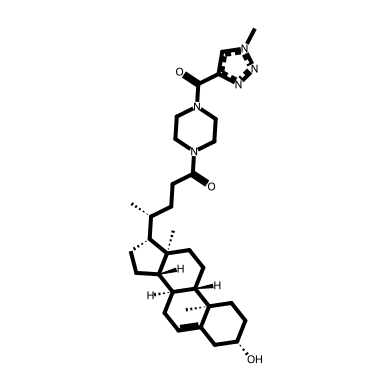 C[C@H](CCC(=O)N1CCN(C(=O)c2cn(C)nn2)CC1)[C@H]1CC[C@H]2[C@@H]3CC=C4C[C@@H](O)CC[C@]4(C)[C@H]3CC[C@]12C